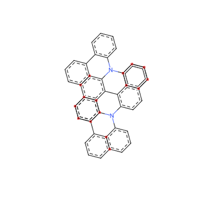 c1ccc(-c2ccccc2N(c2ccccc2)c2ccc3ccccc3c2-c2c(N(c3ccccc3)c3ccccc3-c3ccccc3)ccc3ccccc23)cc1